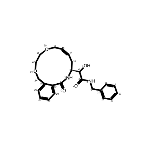 O=C1N[C@H](C(O)C(=O)NCc2ccccc2)C/C=C\COCCOCc2ccccc21